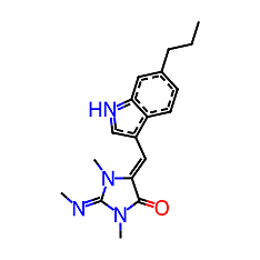 CCCc1ccc2c(C=C3C(=O)N(C)C(=NC)N3C)c[nH]c2c1